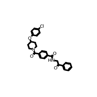 O=C(CNC(=O)c1ccc(C(=O)N2CCC(Oc3ccc(Cl)cc3)CC2)cc1)c1ccccc1